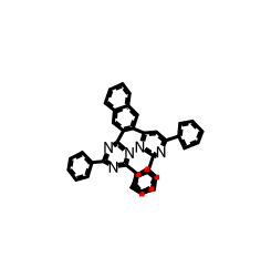 c1ccc(-c2cc(-c3cc4ccccc4cc3-c3nc(-c4ccccc4)nc(-c4ccccc4)n3)nc(-c3ccccc3)n2)cc1